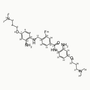 CN(C)CCCOc1ccc(NCc2ccc(C(=O)Nc3ccc(OCCCN(C)C)cc3N)cc2F)c(N)c1